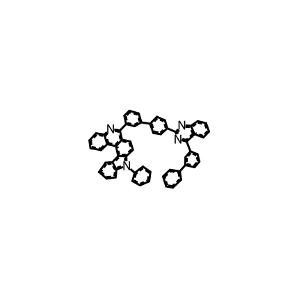 c1ccc(-c2cccc(-c3nc(-c4ccc(-c5cccc(-c6nc7ccccc7c7c6ccc6c7c7ccccc7n6-c6ccccc6)c5)cc4)nc4ccccc34)c2)cc1